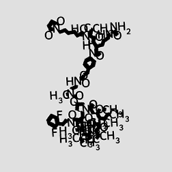 CC[C@H](C)C([C@@H](CC(=O)N1C[C@@H](OC(=O)N(C)CCNC(=O)OCc2ccc(NC(=O)C(CCCNC(N)=O)CC(=O)[C@@H](NC(=O)CCCCCN3C(=O)C=CC3=O)C(C)C)cc2)C[C@H]1[C@H](OC)[C@@H](C)C(=O)NCCc1c(F)cccc1F)OC)N(C)C(=O)[C@@H](NC(=O)[C@H](C(C)C)N(C)C)C(C)C